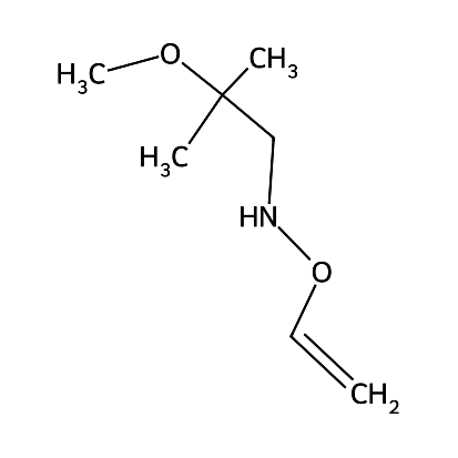 C=CONCC(C)(C)OC